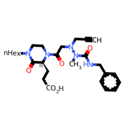 C#CCN(CC(=O)N1CCN(CCCCCC)C(=O)[C@@H]1CCC(=O)O)N(C)C(=O)NCc1ccccc1